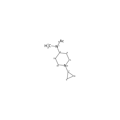 CC(=O)N(C)C1CCN(C2CC2)CC1